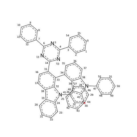 c1ccc(-c2nc(-c3ccccc3)nc(-c3ccc4c5ccccc5n(-c5ccccc5)c4c3-c3cccc4c3c3ccccc3n4-c3ccccc3)n2)cc1